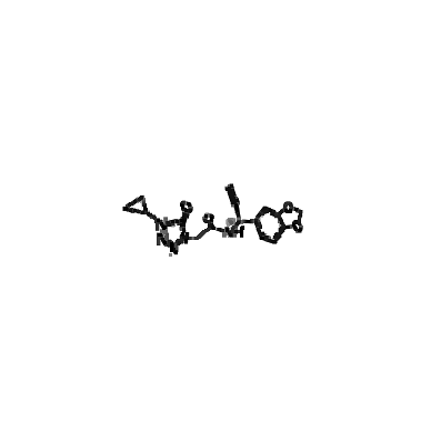 C#C[C@H](NC(=O)Cn1nnn(C2CC2)c1=O)c1ccc2c(c1)OCO2